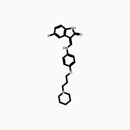 O=C1Nc2ccc(F)cc2/C1=C\Nc1ccc(OCCCN2CCCCC2)cc1